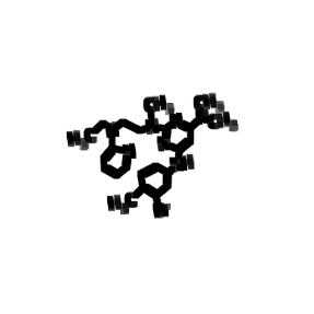 CCN(CCN(C)c1nc(Nc2ccc(C)c(Br)c2)cc(N(C)C)n1)c1ccccn1